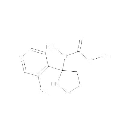 CC(C)(C)OC(=O)N(N)C1(c2ccncc2[N+](=O)[O-])CCCN1